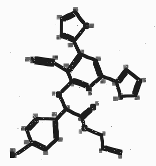 C=CCOC(=O)C(Oc1nc(-c2cccs2)cc(-c2ccco2)c1C#N)c1ccc(Br)cc1